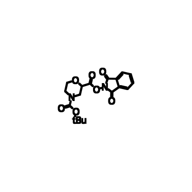 CC(C)(C)OC(=O)N1CCOC(C(=O)ON2C(=O)c3ccccc3C2=O)C1